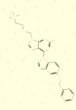 C[Si](C)(C)CCOCn1cnc2c(-n3cnc4cc(OCc5ccccc5)ccc43)nc(Cl)nc21